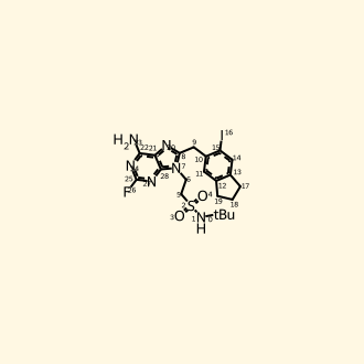 CC(C)(C)NS(=O)(=O)CCn1c(Cc2cc3c(cc2I)CCC3)nc2c(N)nc(F)nc21